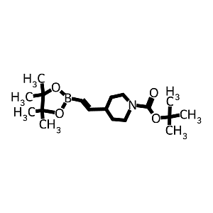 CC(C)(C)OC(=O)N1CCC(C=CB2OC(C)(C)C(C)(C)O2)CC1